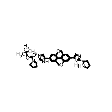 CC(C)(C)OC(=O)N1CCC[C@H]1c1ncc(-c2cc3c4c(c2)OCc2cc(-c5cnc([C@@H]6CCCN6)[nH]5)cc(c2-4)OC3)[nH]1